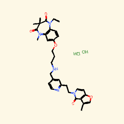 CCN1C(=O)C(C)(C)C(=O)N(C)c2cc(OCCCNCc3ccnc(CCn4ccc5occ(C)c5c4=O)c3)ccc21.Cl.Cl